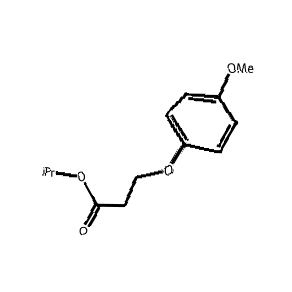 COc1ccc(OCCC(=O)OC(C)C)cc1